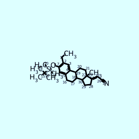 CCc1cc2c(cc1O[Si](C)(C)C(C)(C)C)CCC1C2CCC2(C)C(=CC#N)CCC12